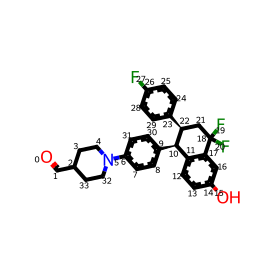 O=CC1CCN(c2ccc([C@@H]3c4ccc(O)cc4C(F)(F)C[C@@H]3c3ccc(F)cc3)cc2)CC1